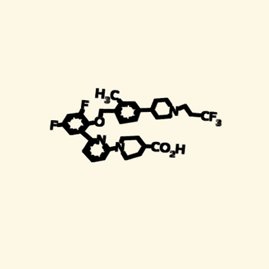 Cc1cc(C2CCN(CCC(F)(F)F)CC2)ccc1COc1c(F)cc(F)cc1-c1cccc(N2CCC(C(=O)O)CC2)n1